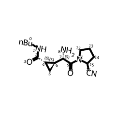 CCCCNC(=O)[C@H]1C[C@@H]1[C@H](N)C(=O)N1CCCC1C#N